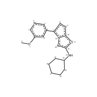 COc1cncc(-c2cnc3sc(NC4CCCCC4)nn23)c1